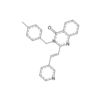 Cc1ccc(Cn2c(/C=C/c3cccnc3)nc3ccccc3c2=O)cc1